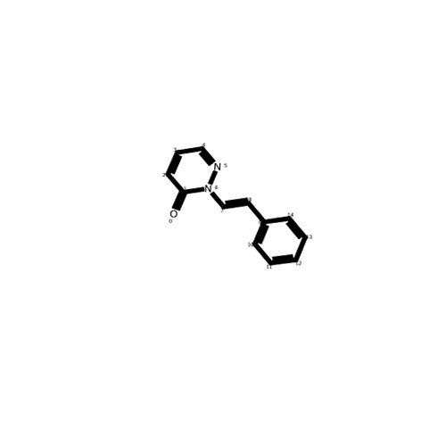 O=c1cccnn1C=Cc1ccccc1